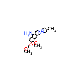 COCCOc1ccc2c(N)c3c(cc2c1OC)CN(N1CCC(C)CC1)C=C3